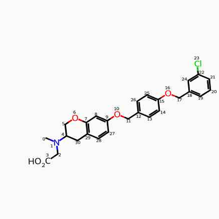 CN(CC(=O)O)C1COc2cc(OCc3ccc(OCc4cccc(Cl)c4)cc3)ccc2C1